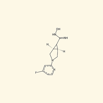 N=C(NO)C1[C@H]2CN(c3cc(F)ccn3)C[C@@H]12